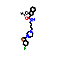 CC1=C(C(=O)NCCCCN2CCCN(c3csc4cc(F)ccc34)CC2)Cc2ccccc21